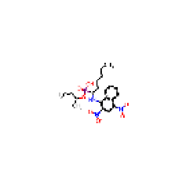 CCCCCC(Nc1c([N+](=O)[O-])cc([N+](=O)[O-])c2ccccc12)P(=O)(O)OC(C)CC